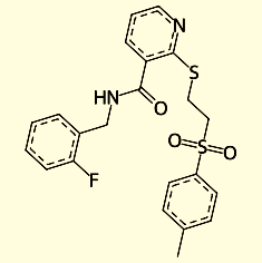 Cc1ccc(S(=O)(=O)CCSc2ncccc2C(=O)NCc2ccccc2F)cc1